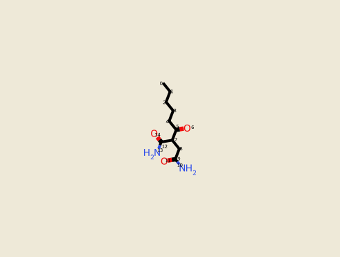 CCCCCC(=O)C(CC(N)=O)C(N)=O